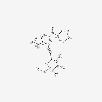 O=C(c1cc(C#CC2OC(CO)[C@@H](O)C(O)C2O)c2[nH]ncc2c1)N1CCOCC1